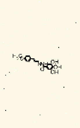 COc1ccc(/C=C/C=N/NC(=O)c2cc(O)c(O)c(O)c2)cc1